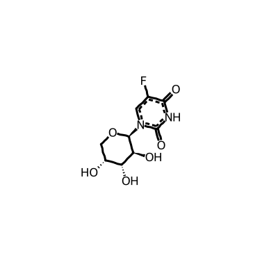 O=c1[nH]c(=O)n([C@@H]2OC[C@@H](O)[C@@H](O)[C@@H]2O)cc1F